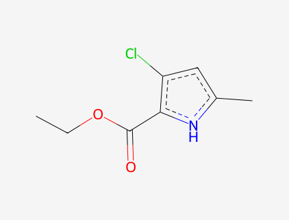 CCOC(=O)c1[nH]c(C)cc1Cl